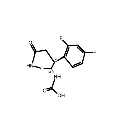 O=C(O)N[C@@H]1CNC(=O)C[C@H]1c1ccc(F)cc1F